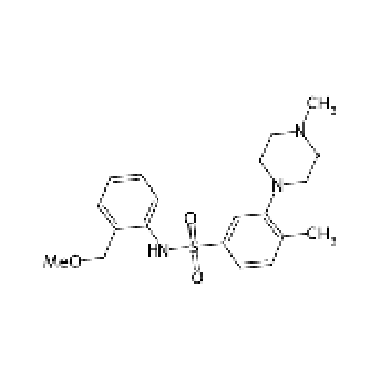 COCc1ccccc1NS(=O)(=O)c1ccc(C)c(N2CCN(C)CC2)c1